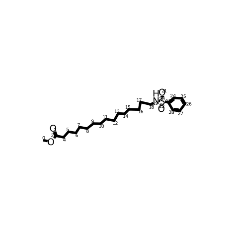 COC(=O)CCCCCCCCCCCCCCCNS(=O)(=O)c1ccccc1